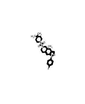 CC1(C)CCN(S(=O)(=O)N2CCC3=Cc4c(cnn4-c4ccc(F)cc4)C[C@]3(C)C2)CC1